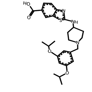 CC(C)Oc1cc(CN2CCC(Nc3nc4ccc(C(=O)O)cc4s3)CC2)cc(OC(C)C)c1